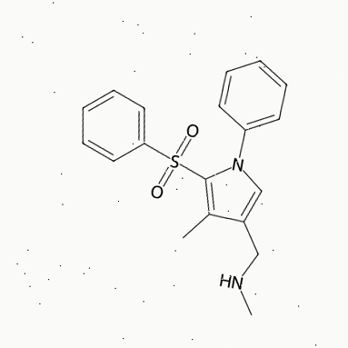 CNCc1cn(-c2ccccc2)c(S(=O)(=O)c2ccccc2)c1C